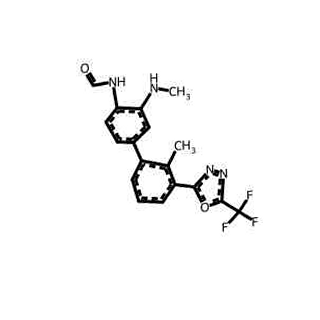 CNc1cc(-c2cccc(-c3nnc(C(F)(F)F)o3)c2C)ccc1NC=O